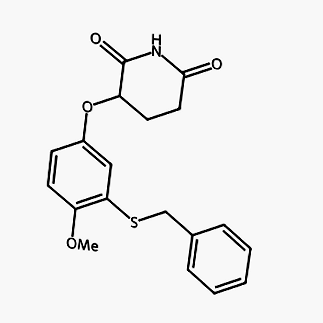 COc1ccc(OC2CCC(=O)NC2=O)cc1SCc1ccccc1